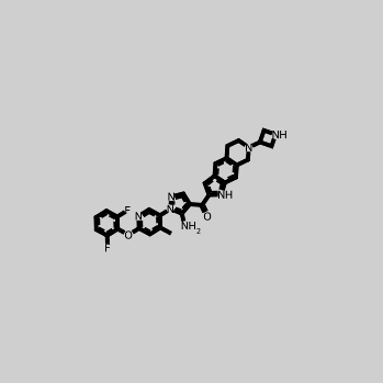 Cc1cc(Oc2c(F)cccc2F)ncc1-n1ncc(C(=O)c2cc3cc4c(cc3[nH]2)CN(C2CNC2)CC4)c1N